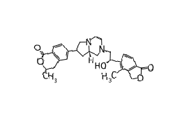 Cc1c([C@@H](O)CN2CCN3CC(c4ccc5c(c4)C[C@@H](C)OC5=O)C[C@H]3C2)ccc2c1COC2=O